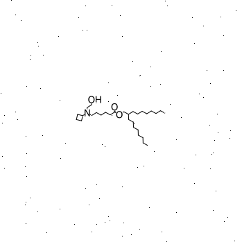 CCCCCCCCC(CCCCCCCC)COC(=O)CCCCCN(CCO)C1CCC1